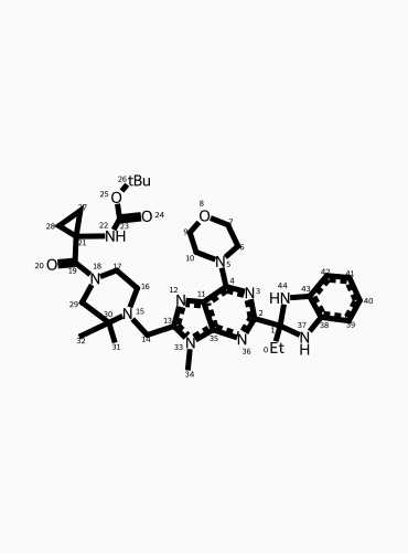 CCC1(c2nc(N3CCOCC3)c3nc(CN4CCN(C(=O)C5(NC(=O)OC(C)(C)C)CC5)CC4(C)C)n(C)c3n2)Nc2ccccc2N1